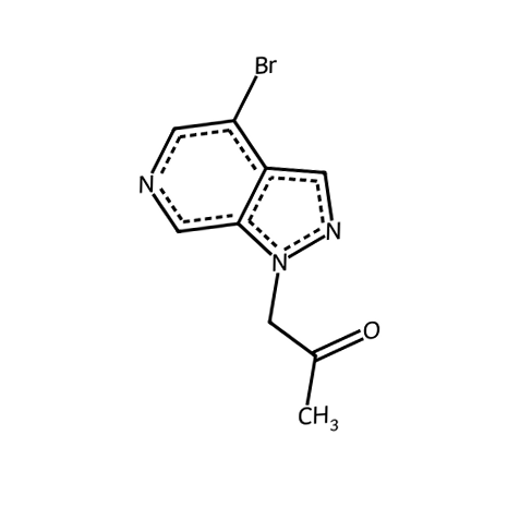 CC(=O)Cn1ncc2c(Br)cncc21